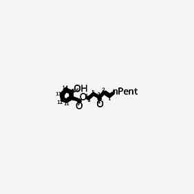 CCCCCC=CC(=O)CCOC(=O)c1ccccc1O